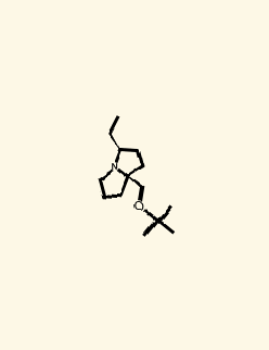 CC[C@H]1CC[C@]2(COC(C)(C)C)CCCN12